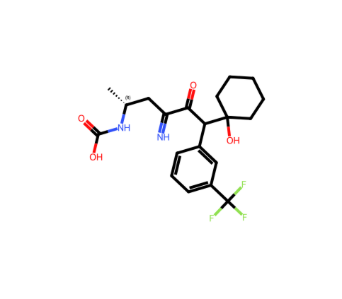 C[C@H](CC(=N)C(=O)C(c1cccc(C(F)(F)F)c1)C1(O)CCCCC1)NC(=O)O